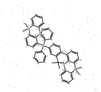 CC(C)(C)c1cc([Si](c2ccccc2)(c2ccccc2)c2cccc3c2Oc2ccccc2[Si]3(C)C)ccc1-c1cccc2c1Oc1ccccc1[Si]2(C)C